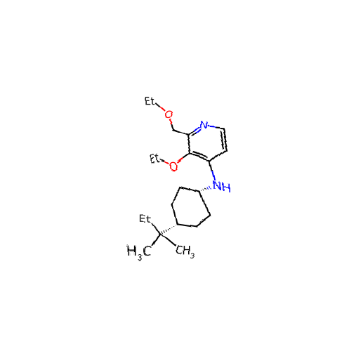 CCOCc1nccc(N[C@H]2CC[C@@H](C(C)(C)CC)CC2)c1OCC